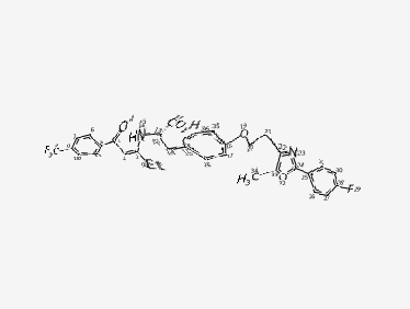 CCC(=CC(=O)c1ccc(C(F)(F)F)cc1)N[C@@H](Cc1ccc(OCCc2nc(-c3ccc(F)cc3)oc2C)cc1)C(=O)O